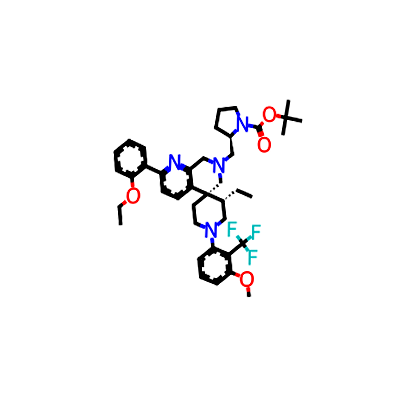 CCOc1ccccc1-c1ccc2c(n1)CN(C[C@H]1CCCN1C(=O)OC(C)(C)C)C[C@]21CCN(c2cccc(OC)c2C(F)(F)F)C[C@H]1CC